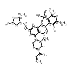 C=CC(=O)N1CCN(c2nc(OC[C@@H]3C[C@@H](F)CN3C)nc3c2CO[C@H](c2c(F)c(N)cc(C)c2C(F)(F)F)C3)[C@@H](C)C1